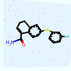 NC(=O)C1=CCCc2cc(Sc3cccc(F)c3)ccc21